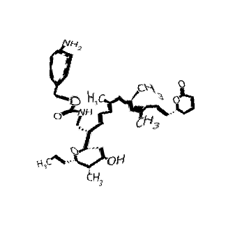 C/C=C/[C@@H]1O[C@H]([C@@H](/C=C/C=C(\C)C[C@@H](C)/C=C(C)\C=C\[C@H]2CC=CC(=O)O2)CNC(=O)OCc2ccc(N)cc2)C[C@@H](O)[C@@H]1C